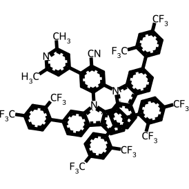 Cc1cc(-c2cc(-n3c4cc(-c5ccc(C(F)(F)F)cc5C(F)(F)F)ccc4c4ccc(-c5ccc(C(F)(F)F)cc5C(F)(F)F)cc43)c(-n3c4cc(-c5ccc(C(F)(F)F)cc5C(F)(F)F)ccc4c4ccc(-c5ccc(C(F)(F)F)cc5C(F)(F)F)cc43)cc2C#N)cc(C)n1